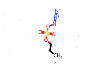 CCCOS(=O)(=O)ON=[N+]=[N-]